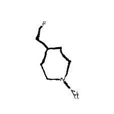 CCN1CCC(CF)CC1